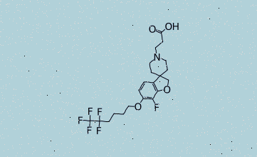 O=C(O)CCN1CCC2(CC1)COc1c2ccc(OCCCCC(F)(F)C(F)(F)F)c1F